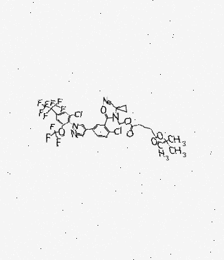 CC(C)(C)OC(=O)CCCC(=O)OCN(C(=O)c1cc(-c2cnn(-c3c(Cl)cc(C(F)(C(F)(F)F)C(F)(F)F)cc3OC(F)(F)F)c2)ccc1Cl)C1(C#N)CC1